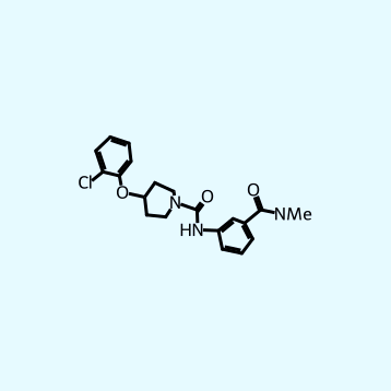 CNC(=O)c1cccc(NC(=O)N2CCC(Oc3ccccc3Cl)CC2)c1